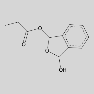 CCC(=O)OC1OC(O)c2ccccc21